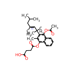 CC(=O)Oc1c(C(C)(C)/C=C(\C)CC(C)C)c(C)c(OC(=O)CCC(=O)O)c2ccccc12